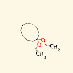 C=COC1(OC=C)CCCCCCCCC1